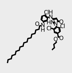 CCCCCCCCCCCCCCCCCC(=O)Nc1ccc(Cl)c(Nc2cc(=O)n(-c3c(Cl)cc(C(=O)OCCCC)cc3Cl)[nH]2)c1